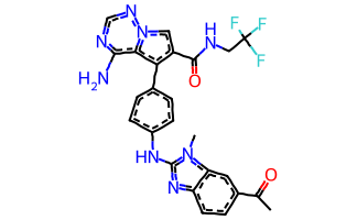 CC(=O)c1ccc2nc(Nc3ccc(-c4c(C(=O)NCC(F)(F)F)cn5ncnc(N)c45)cc3)n(C)c2c1